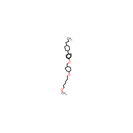 CCCC1CCC(c2ccc(OCC3CCC(OCCCCCCOC)CC3)cc2)CC1